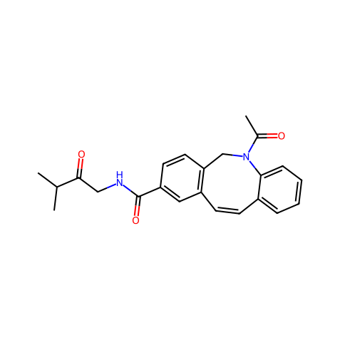 CC(=O)N1Cc2ccc(C(=O)NCC(=O)C(C)C)cc2/C=C\c2ccccc21